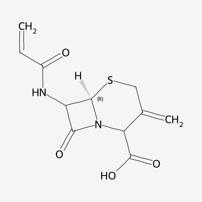 C=CC(=O)NC1C(=O)N2C(C(=O)O)C(=C)CS[C@H]12